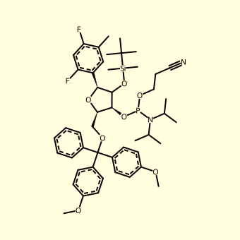 COc1ccc(C(OC[C@H]2O[C@@H](c3cc(C)c(F)cc3F)C(O[Si](C)(C)C(C)(C)C)[C@H]2OP(OCCC#N)N(C(C)C)C(C)C)(c2ccccc2)c2ccc(OC)cc2)cc1